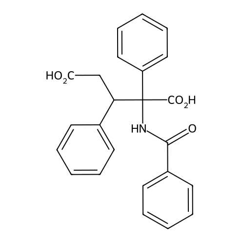 O=C(O)CC(c1ccccc1)C(NC(=O)c1ccccc1)(C(=O)O)c1ccccc1